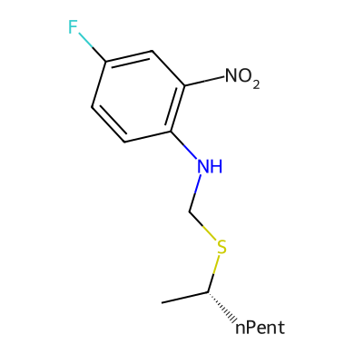 CCCCC[C@H](C)SCNc1ccc(F)cc1[N+](=O)[O-]